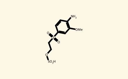 COc1cc(S(=O)(=O)CCOS(=O)(=O)O)ccc1N